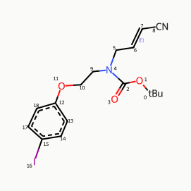 CC(C)(C)OC(=O)N(C/C=C/C#N)CCOc1ccc(I)cc1